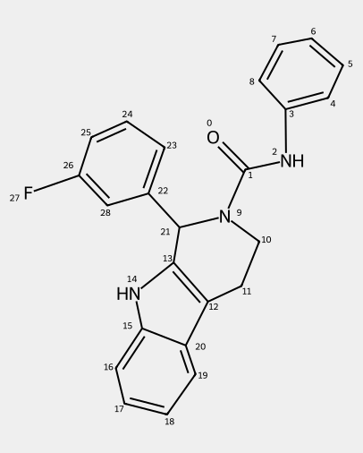 O=C(Nc1ccccc1)N1CCc2c([nH]c3ccccc23)C1c1cccc(F)c1